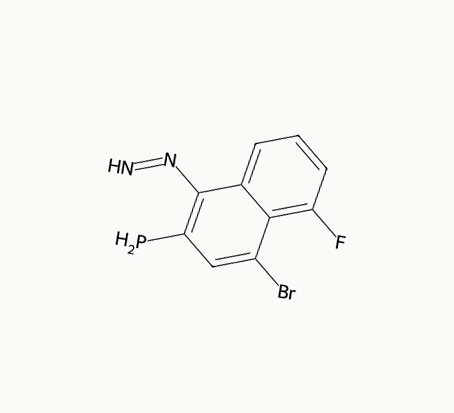 N=Nc1c(P)cc(Br)c2c(F)cccc12